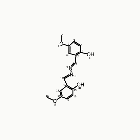 COc1ccc(O)c(/C=N/N=C/c2cc(OC)ccc2O)c1